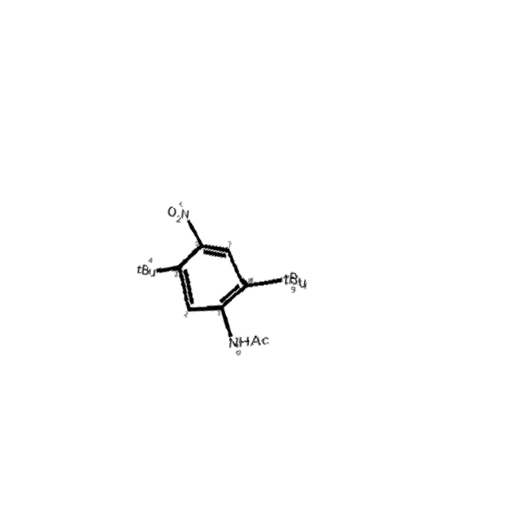 CC(=O)Nc1cc(C(C)(C)C)c([N+](=O)[O-])cc1C(C)(C)C